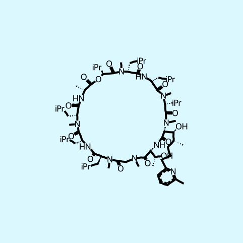 Cc1cccc(CCC[C@@H](C)[C@@H](O)[C@@H]2C(=O)N[C@H]([C@@H](C)O)C(=O)N(C)CC(=O)N(C)[C@@H](CC(C)C)C(=O)N[C@H](CC(C)C)C(=O)N(C)[C@H](CC(C)C)C(=O)N[C@H](C)C(=O)O[C@@H](C(C)C)C(=O)N(C)[C@H](CC(C)C)C(=O)N[C@H](CC(C)C)C(=O)N(C)[C@H](C(C)C)C(=O)N2C)n1